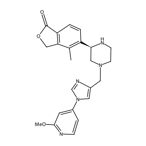 COc1cc(-n2cnc(CN3CCN[C@H](c4ccc5c(c4C)COC5=O)C3)c2)ccn1